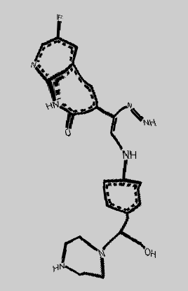 N=N/C(=C\Nc1ccc(C(O)N2CCNCC2)cc1)c1cc2cc(F)cnc2[nH]c1=O